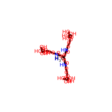 CC(COCCC(=O)NCCOCCOCCO[C@H]1OC(CO)[C@@H](O)C(O)C1O)(COCCC(=O)NCCOCCOCCO[C@H]1OC(CO)[C@@H](O)C(O)C1O)COCCC(=O)NCCOCCOCCO[C@H]1OC[C@](O)(CCO)C(O)C1O